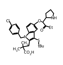 CCC(=O)[C@@H](Oc1ccc2c(c1)c(SC(C)(C)C)c(CC(C)(C)C(=O)O)n2Cc1ccc(Cl)cc1)C1CCCN1